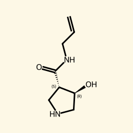 C=CCNC(=O)[C@H]1CNC[C@@H]1O